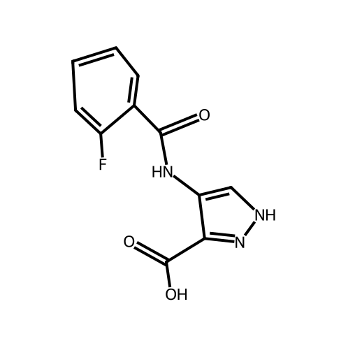 O=C(Nc1c[nH]nc1C(=O)O)c1ccccc1F